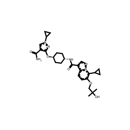 CC(C)(O)COc1ccc2c(C(=O)N[C@H]3CC[C@H](Oc4nn(C5CC5)cc4C(N)=O)CC3)cnn2c1C1CC1